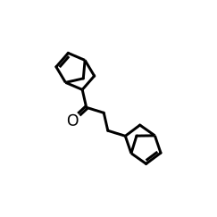 O=C(CCC1CC2C=CC1C2)C1CC2C=CC1C2